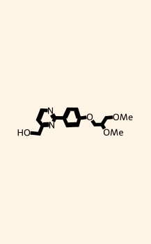 COCC(COc1ccc(-c2nccc(CO)n2)cc1)OC